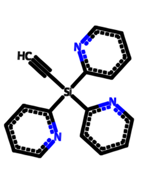 C#C[Si](c1ccccn1)(c1ccccn1)c1ccccn1